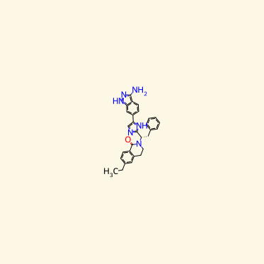 CCc1ccc2c(c1)CCN([C@@H](Cc1ccccc1)c1ncc(-c3ccc4c(N)n[nH]c4c3)[nH]1)C2=O